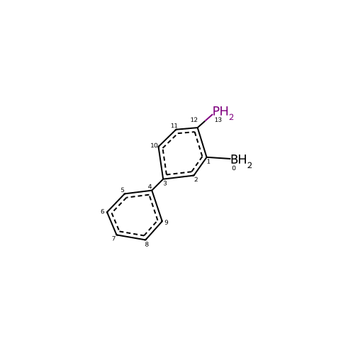 Bc1cc(-c2ccccc2)ccc1P